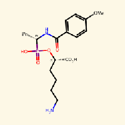 COc1ccc(C(=O)N[C@@H](C(C)C)P(=O)(O)O[C@@H](CCCCN)C(=O)O)cc1